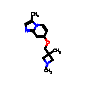 Cc1cnc2cc(OCC3(C)CN(C)C3)ccn12